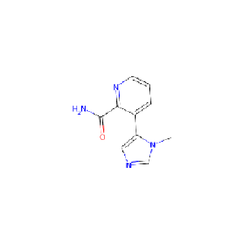 Cn1cncc1-c1cccnc1C(N)=O